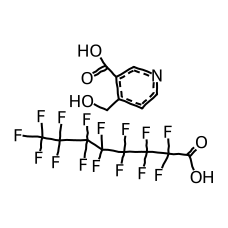 O=C(O)C(F)(F)C(F)(F)C(F)(F)C(F)(F)C(F)(F)C(F)(F)C(F)(F)F.O=C(O)c1cnccc1CO